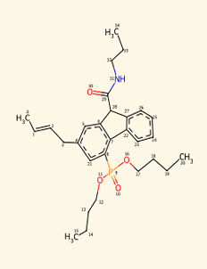 CC=CCc1cc2c(c(P(=O)(OCCCC)OCCCC)c1)-c1ccccc1C2C(=O)NCCC